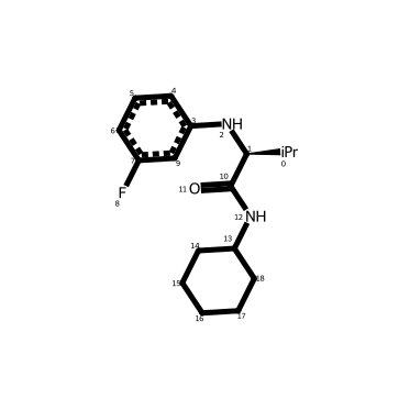 CC(C)[C@H](Nc1cccc(F)c1)C(=O)NC1CCCCC1